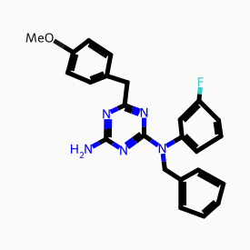 COc1ccc(Cc2nc(N)nc(N(Cc3ccccc3)c3cccc(F)c3)n2)cc1